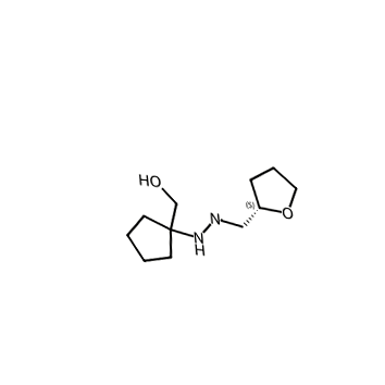 OCC1(N[N]C[C@@H]2CCCO2)CCCC1